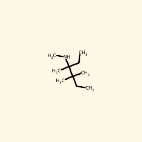 CCC(C)(C)C(C)(CC)NC